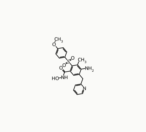 COc1ccc(S(=O)(=O)c2c(C(=O)NO)cc(Cc3ccccn3)c(N)c2C)cc1